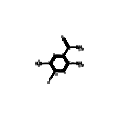 Bc1cc(C(N)=O)c(N)cc1F